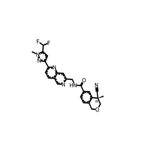 Cn1nc(-c2ccc3cnc(CNC(=O)c4ccc5c(c4)[C@](C)(C#N)COC5)cc3n2)cc1C(F)F